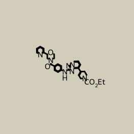 CCOC(=O)N1CC=C(c2cccn3nc(Nc4ccc(C(=O)N5CCOC(c6ccccn6)C5)cc4)nc23)CC1